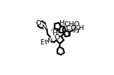 CCN(CCCN1CCOCC1)CC1OC(C23C[C@@H]4[C@H](C)CC[C@H]4C4(C=O)CC2C=C(C(C)C)[C@@]34C(=O)O)CC1C1CCCCC1